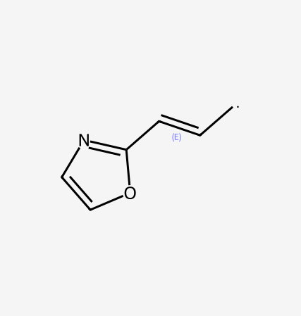 [CH2]/C=C/c1ncco1